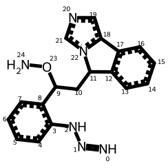 N=NNc1ccccc1C(CC1c2ccccc2-c2cncn21)ON